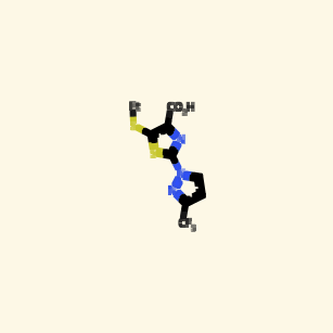 CCSc1sc(-n2ccc(C(F)(F)F)n2)nc1C(=O)O